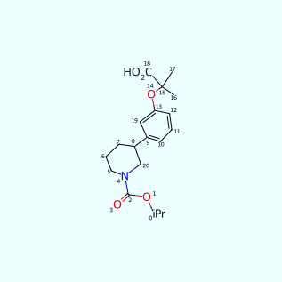 CC(C)OC(=O)N1CCCC(c2cccc(OC(C)(C)C(=O)O)c2)C1